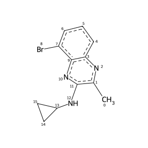 Cc1nc2cccc(Br)c2nc1NC1CC1